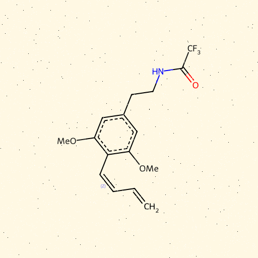 C=C/C=C\c1c(OC)cc(CCNC(=O)C(F)(F)F)cc1OC